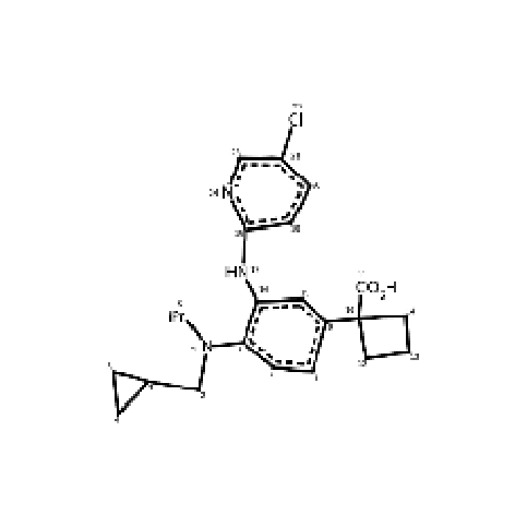 CC(C)N(CC1CC1)c1ccc(C2(C(=O)O)CCC2)cc1Nc1ccc(Cl)cn1